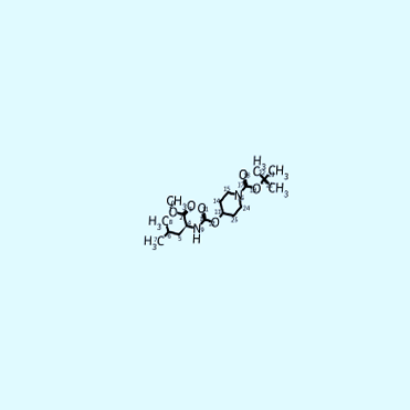 COC(=O)[C@H](CC(C)C)NC(=O)OC1CCN(C(=O)OC(C)(C)C)CC1